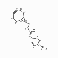 Nc1ccc(OC(=O)OCC2C3CCC#CCCC32)cc1